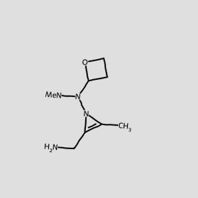 CNN(C1CCO1)N1C(C)=C1CN